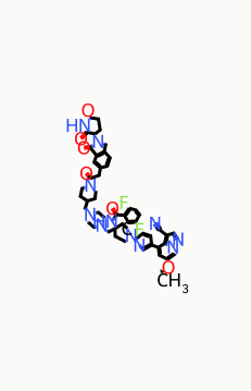 CCOc1cc(-c2ccc(N3CCC(CN4CCN(CC5CCN(C(=O)Cc6ccc7c(c6)C(=O)N(C6CCC(=O)NC6=O)C7)CC5)CC4)(NC(=O)c4cc(F)ccc4F)CC3)nc2)c2c(C#N)cnn2c1